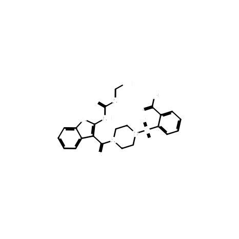 CCNC(=O)Nc1sc2ccccc2c1C(=O)N1CCN(S(=O)(=O)c2ccccc2C(=O)O)CC1